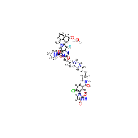 CCc1cccc2cc(OCOC)cc(-c3ncc4c(N5CC6CCC(C5)N6C(=O)OC(C)(C)C)nc(OCC5(CN6CCN(CCCC7CCN(C(=O)c8ccc(Cl)c(N9CCC(=O)NC9=O)c8)CC7)CC6)CC5)nc4c3F)c12